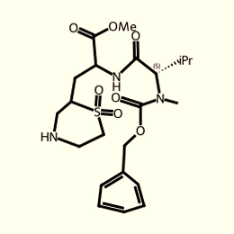 COC(=O)C(CC1CNCCS1(=O)=O)NC(=O)[C@H](C(C)C)N(C)C(=O)OCc1ccccc1